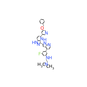 CN(C)CCNc1cc(F)cc(-c2ccnc3[nH]c(-c4n[nH]c5ccc(-c6cncc(OCc7ccccc7)c6)nc45)cc23)c1